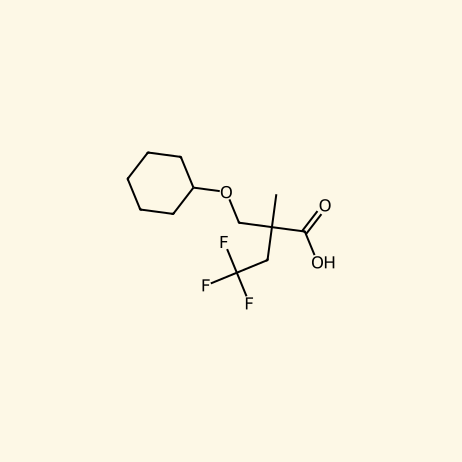 CC(COC1CCCCC1)(CC(F)(F)F)C(=O)O